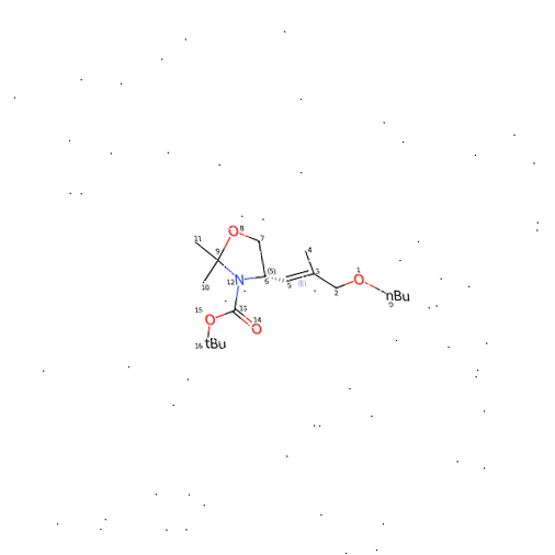 CCCCOC/C(C)=C/[C@H]1COC(C)(C)N1C(=O)OC(C)(C)C